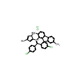 CCC1C=C(C(C)(C)C)C=[C]1[Zr+2](=[C](c1ccc(Cl)cc1)c1ccc(Cl)cc1)[c]1c(C)ccc2c1Cc1cc(C)ccc1-2.[Cl-].[Cl-]